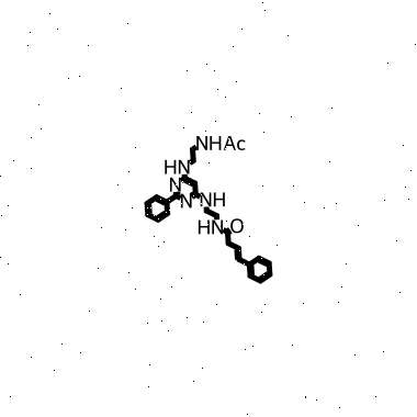 CC(=O)NCCNc1cc(NCCNC(=O)CC=Cc2ccccc2)nc(-c2ccccc2)n1